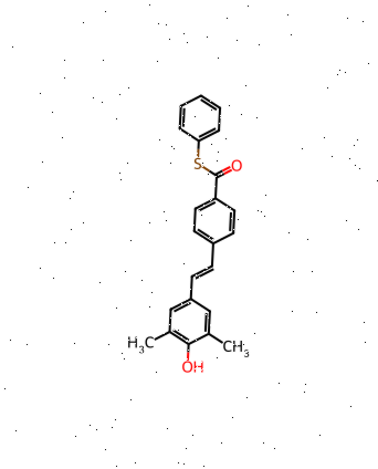 Cc1cc(/C=C/c2ccc(C(=O)Sc3ccccc3)cc2)cc(C)c1O